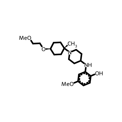 COCCO[C@H]1CC[C@](C)(N2CCC(Nc3cc(OC)ccc3O)CC2)CC1